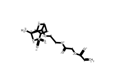 C=CC(=O)OCC(=O)OCCOC1C2CC3C(O2)C1(C)OS3(=O)=O